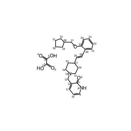 O=C(O)C(=O)O.O=c1[nH]cccc1CN1CCC(C=Cc2ccccc2OCC2CCCC2)CC1